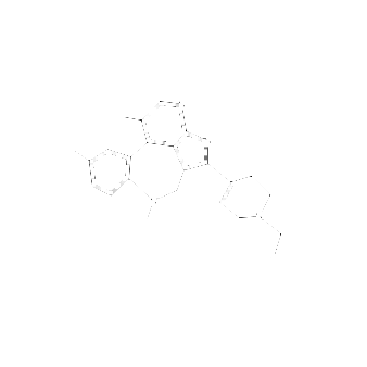 CN1Cc2c(C3=CCN(CC(=O)O)CC3)[nH]c3ncc(F)c(c23)-c2cc(F)ccc21